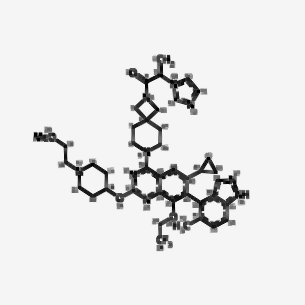 C=C(C(=O)N1CC2(CCN(c3nc(OC4CCN(CCOC)CC4)nc4c(OCC(F)(F)F)c(-c5c(C)ccc6[nH]ncc56)c(C5CC5)cc34)CC2)C1)n1ccnc1